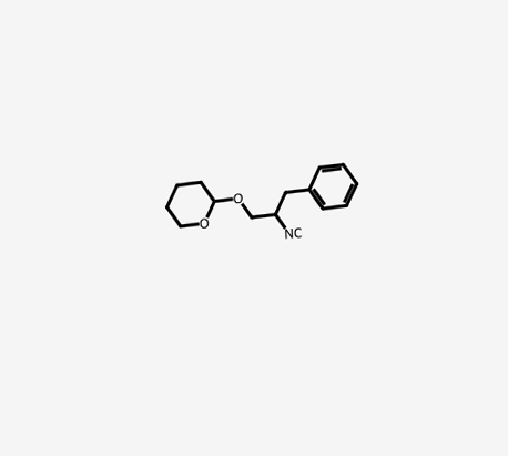 [C-]#[N+]C(COC1CCCCO1)Cc1ccccc1